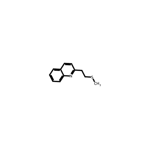 CSCCc1ccc2ccccc2n1